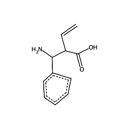 C=CC(C(=O)O)C(N)c1ccccc1